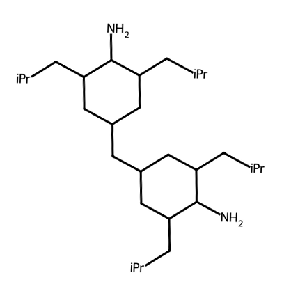 CC(C)CC1CC(CC2CC(CC(C)C)C(N)C(CC(C)C)C2)CC(CC(C)C)C1N